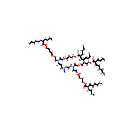 CCCCCCC(CCCC)C(=O)OCCCCOCCN(CCCN(C)CCCN(CCOCCCCOC(=O)C(CCCC)CCCCCC)CCOCCCCOC(=O)C(CCCC)CCCCCC)CCOCCCCOC(=O)C(CCCC)CCCCCC